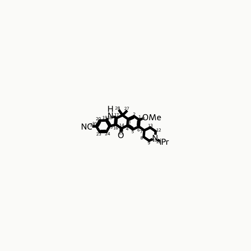 COc1cc2c(cc1C1CCN(C(C)C)CC1)C(=O)c1c([nH]c3cc(C#N)ccc13)C2(C)C